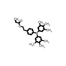 C=CC(=O)OCCc1ccc(N(c2cc(C)c(C)c(C)c2)c2cc(C)c(C)c(C)c2)cc1